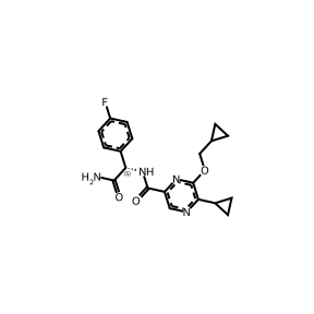 NC(=O)[C@@H](NC(=O)c1cnc(C2CC2)c(OCC2CC2)n1)c1ccc(F)cc1